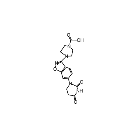 O=C1CCN(c2ccc3c(N4CCN(C(=O)O)CC4)noc3c2)C(=O)N1